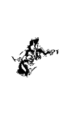 C=CCC(CC(=O)Nc1cccc(Cl)c1C)c1nnc(CCCC(C)C)n1C1CC1